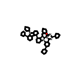 C1=CCC2C(=C1)c1c(-c3cccc4c3c3cccc(-c5ccccc5)c3n4-c3ccccc3)cccc1N2c1cc(-c2ccccc2)ccc1-c1nc(-c2ccccc2)nc(-c2ccccc2)n1